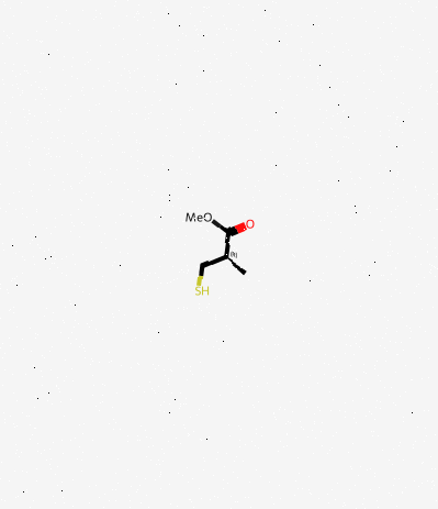 COC(=O)[C@@H](C)CS